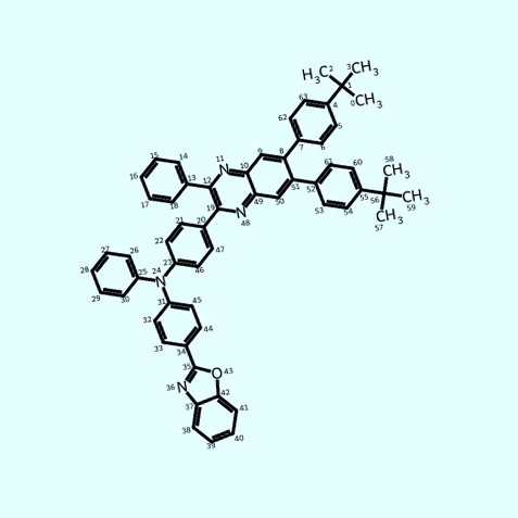 CC(C)(C)c1ccc(-c2cc3nc(-c4ccccc4)c(-c4ccc(N(c5ccccc5)c5ccc(-c6nc7ccccc7o6)cc5)cc4)nc3cc2-c2ccc(C(C)(C)C)cc2)cc1